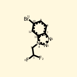 FC(F)Cn1nnc2ccc(Br)cc21